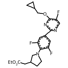 CCOC(=O)CC1CCN(c2c(F)cc(-c3ncc(F)c(OCC4CC4)n3)cc2F)C1